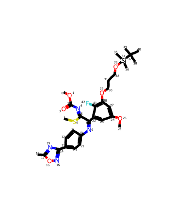 COC(=O)/N=C(SC)/C(=N\c1ccc(-c2noc(C)n2)cc1)c1cc(OC)cc(OCCCO[Si](C)(C)C(C)(C)C)c1F